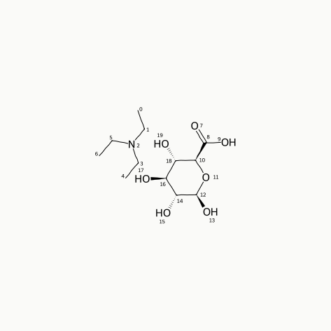 CCN(CC)CC.O=C(O)[C@H]1O[C@@H](O)[C@H](O)[C@@H](O)[C@@H]1O